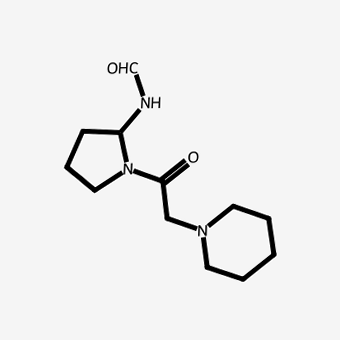 O=CNC1CCCN1C(=O)CN1CCCCC1